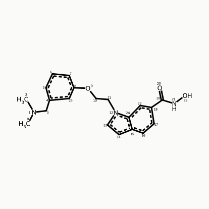 CN(C)Cc1cccc(OCCn2ccc3ccc(C(=O)NO)cc32)c1